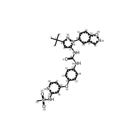 CC(C)(C)c1cc(NC(=O)Nc2ccc(Oc3ccnc(NS(C)(=O)=O)c3)cc2)n(-c2ccc3oncc3c2)n1